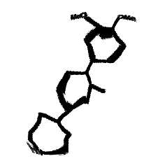 COc1ccc(C2C=CC(C3CCNCC3)=CC2C)cc1OC